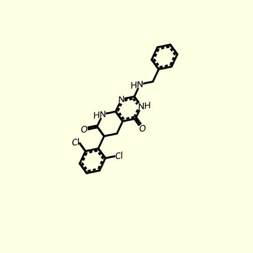 O=C1Nc2nc(NCc3ccccc3)[nH]c(=O)c2CC1c1c(Cl)cccc1Cl